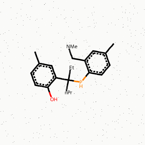 CCCC(CC)(Pc1ccc(C)cc1CNC)c1cc(C)ccc1O